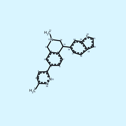 Cc1ccc(-c2ccc3c(c2)CN(C)CC3c2ccc3ccsc3c2)nn1